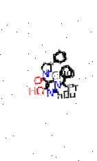 CCCCC1=NC(O)=C(C(=O)N2CC[C@H](c3ccccc3)C2)C(C=O)N1C(c1ccccc1)C(C)C